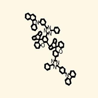 c1ccc(-c2nc(-c3ccc(-n4c5ccccc5c5ccccc54)cc3)nc(-c3ccc4c(c3)Oc3ccccc3C43c4ccccc4-c4c(-c5cc(-c6nc(-c7ccccc7)nc(-c7cccc(-n8c9ccccc9c9c%10ccccc%10ccc98)c7)n6)cc6c5Oc5ccccc5C65c6ccccc6-c6ccccc65)cccc43)n2)cc1